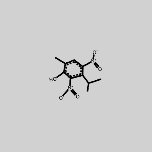 Cc1cc([N+](=O)[O-])c(C(C)C)c([N+](=O)[O-])c1O